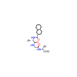 CC(C)[C@H](NC(=O)c1ccc2ccccc2c1)C(=O)N[C@@H](C)C(=O)N[C@H](C=O)C(C)C